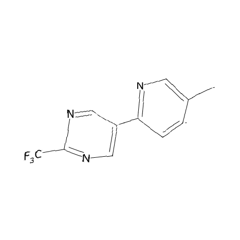 Cc1[c]cc(-c2cnc(C(F)(F)F)nc2)nc1